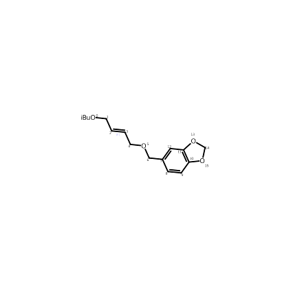 CC(C)COC/C=C/COCc1ccc2c(c1)OCO2